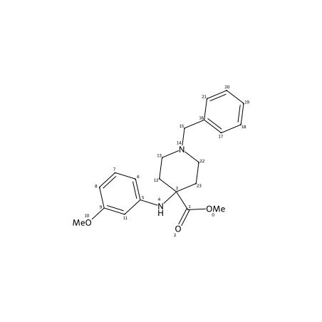 COC(=O)C1(Nc2cccc(OC)c2)CCN(Cc2ccccc2)CC1